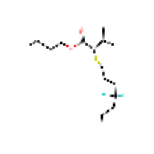 CCCCOC(=O)C(SCCCC(F)(F)CCC)C(C)C